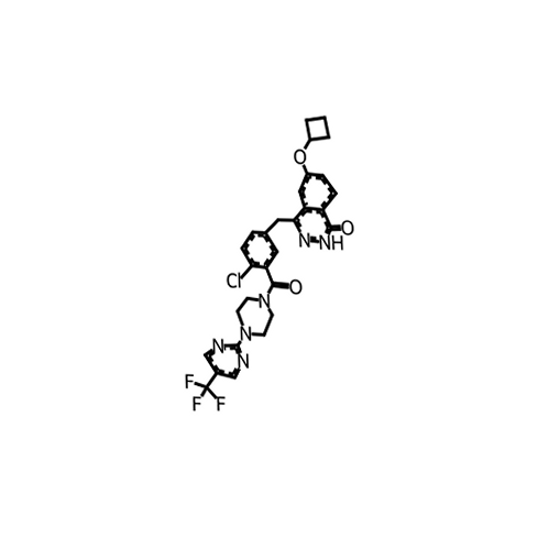 O=C(c1cc(Cc2n[nH]c(=O)c3ccc(OC4CCC4)cc23)ccc1Cl)N1CCN(c2ncc(C(F)(F)F)cn2)CC1